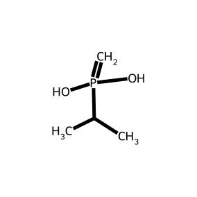 C=P(O)(O)C(C)C